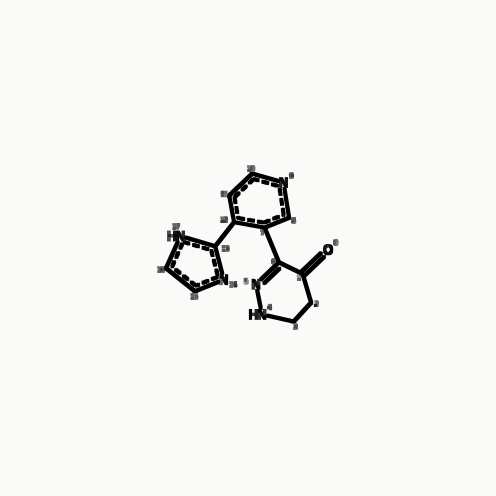 O=C1CCNN=C1c1cnccc1-c1ncc[nH]1